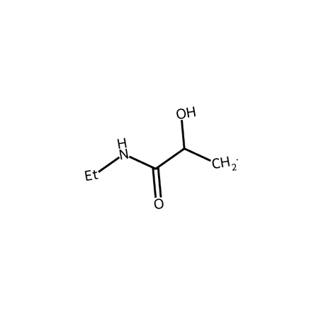 [CH2]C(O)C(=O)NCC